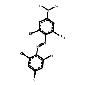 CCc1cc(N(CC)CC)cc(C)c1N=Nc1c(Cl)cc(Cl)cc1Cl